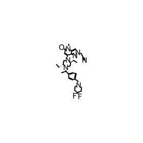 CC[C@H]1CN(C(C)c2ccc(CN3CCC(F)(F)CC3)cc2)[C@H](CC)CN1c1cc(=O)n(C)c2cn(CC#N)nc12